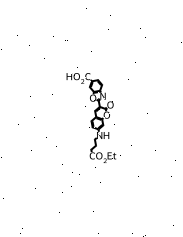 CCOC(=O)CCCNc1ccc2cc(-c3nc4ccc(C(=O)O)cc4o3)c(=O)oc2c1